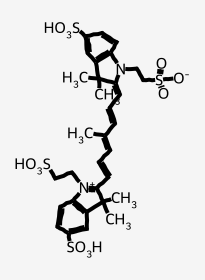 CC(/C=C/C=C1/N(CCS(=O)(=O)[O-])c2ccc(S(=O)(=O)O)cc2C1(C)C)=C\C=C\C1=[N+](CCS(=O)(=O)O)c2ccc(S(=O)(=O)O)cc2C1(C)C